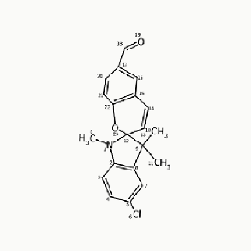 CN1c2ccc(Cl)cc2C(C)(C)C12C=Cc1cc(C=O)ccc1O2